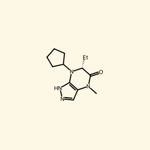 CC[C@@H]1C(=O)N(C)c2cn[nH]c2N1C1CCCC1